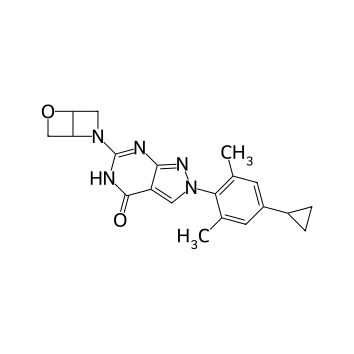 Cc1cc(C2CC2)cc(C)c1-n1cc2c(=O)[nH]c(N3CC4OCC43)nc2n1